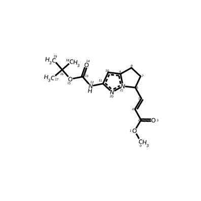 COC(=O)C=CC1CCc2cc(NC(=O)OC(C)(C)C)nn21